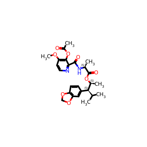 COc1ccnc(C(=O)N[C@@H](C)C(=O)O[C@@H](C)[C@H](c2ccc3c(c2)OCO3)C(C)C)c1OC(C)=O